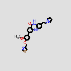 COc1cc(C2=CC3=C(CC2)C(=O)Nc2cc(CCn4cccc4)ccc2N3)ccc1OCc1cscn1